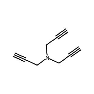 C#CCN(CC#C)CC#C